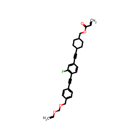 C=COCOCc1ccc(C#Cc2ccc(C#CC3CCC(COC(=O)C=C)CC3)cc2F)cc1